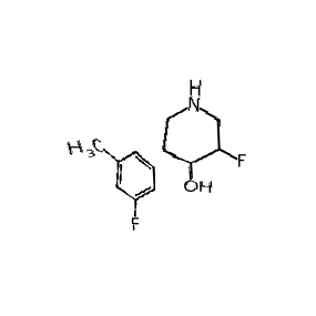 Cc1cccc(F)c1.OC1CCNCC1F